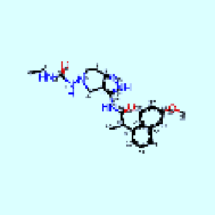 CCNC(=O)NN1CCc2n[nH]c(NC(=O)C(C)c3cccc4cc(OC)ccc34)c2C1